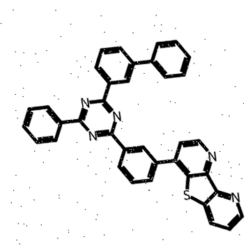 c1ccc(-c2cccc(-c3nc(-c4ccccc4)nc(-c4cccc(-c5ccnc6c5sc5cccnc56)c4)n3)c2)cc1